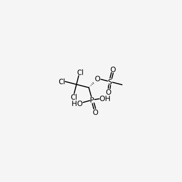 CS(=O)(=O)O[C@@H](C(Cl)(Cl)Cl)P(=O)(O)O